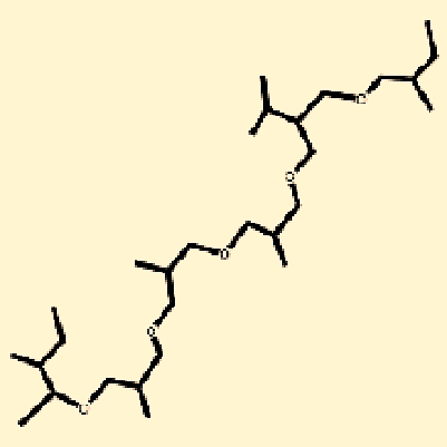 CCC(C)COCC(COCC(C)COCC(C)COCC(C)COC(C)C(C)CC)C(C)C